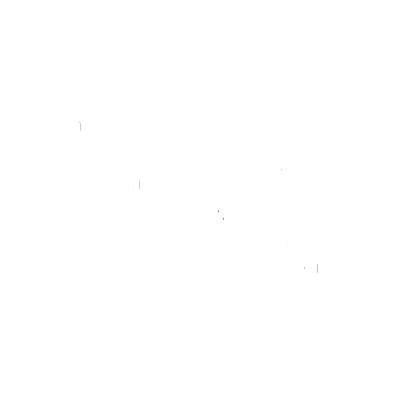 Cc1cccc(C(=O)N2Cc3ccccc3CC2C(=O)O)c1C